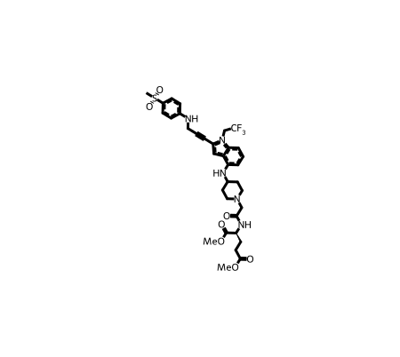 COC(=O)CC[C@H](NC(=O)CN1CCC(Nc2cccc3c2cc(C#CCNc2ccc(S(C)(=O)=O)cc2)n3CC(F)(F)F)CC1)C(=O)OC